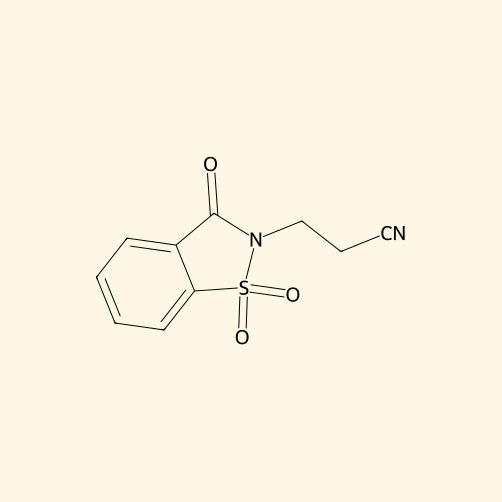 N#CCCN1C(=O)c2ccccc2S1(=O)=O